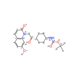 COc1ccc2ccc(=O)n(CC(=O)[C@H]3CC[C@H](NC(=O)OC(C)(C)C)CC3)c2c1